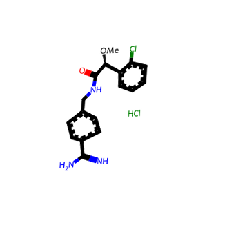 CO[C@H](C(=O)NCc1ccc(C(=N)N)cc1)c1ccccc1Cl.Cl